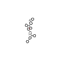 CC1CC(c2ccc(-c3ccccc3N(c3ccccc3)c3ccc4c(c3)C(C)(C)c3ccccc3-4)cc2)=CC=C1N(c1ccccc1)c1ccc(-c2ccccc2)cc1